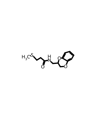 CSCCC(=O)NCC1COc2ccccc2O1